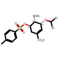 CCC(CC)O[C@@H]1C=C(C(=O)O)C[C@@H](OS(=O)(=O)c2ccc(C)cc2)[C@@H]1NC(C)=O